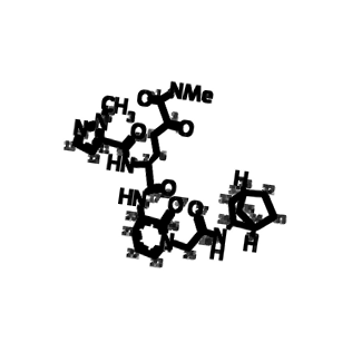 CNC(=O)C(=O)CC[C@H](NC(=O)c1ccnn1C)C(=O)Nc1cccn(CC(=O)N[C@@H]2C[C@@H]3CC[C@H]2C3)c1=O